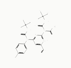 Cc1ccc(N(C(=O)OC(C)(C)C)c2cc(C=O)nc(N(C(=O)O)C(=O)OC(C)(C)C)n2)cc1